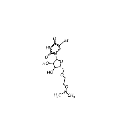 CCc1cn([C@@H]2O[C@H](COCCON(C)C)[C@@H](O)[C@H]2O)c(=O)[nH]c1=O